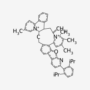 C=C1CC2c3ccccc3-c3ccc(C)c[n+]3C2CCc2ccc3c(oc4nc(-c5c(C(C)C)cccc5C(C)C)ccc43)c2-c2cc(C)c(C)c(C)[n+]21